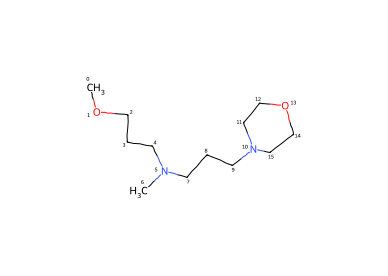 COCCCN(C)CCCN1CCOCC1